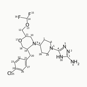 Nc1nnc(N2CCC(N3CC(COC(F)F)OCC3Cc3ccc(Cl)cc3)CC2)[nH]1